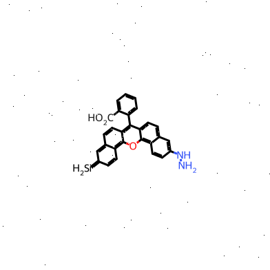 NNc1ccc2c3c(ccc2c1)C(c1ccccc1C(=O)O)=c1ccc2cc(=[SiH2])ccc2c1O3